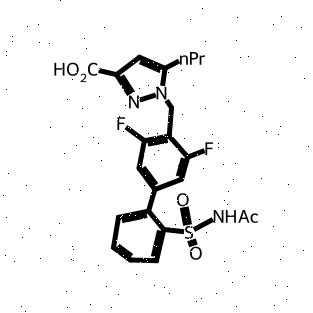 CCCc1cc(C(=O)O)nn1Cc1c(F)cc(-c2ccccc2S(=O)(=O)NC(C)=O)cc1F